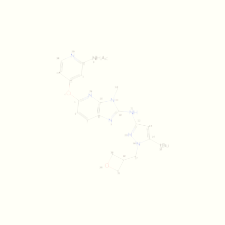 CC(=O)Nc1cc(Oc2ccc3nc(Nc4cc(C(C)(C)C)n(CC5COC5)n4)n(C)c3n2)ccn1